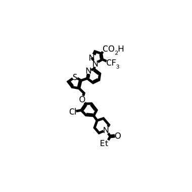 CCC(=O)N1CCC(c2ccc(OCc3ccsc3-c3cccc(-n4ncc(C(=O)O)c4C(F)(F)F)n3)c(Cl)c2)CC1